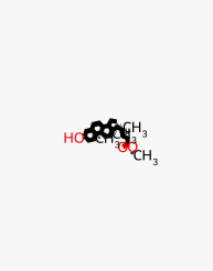 CCOC(=O)CC[C@@H](C)[C@H]1CCC2C3C=CC4=CC(O)CC[C@]4(C)C3CC[C@@]21C